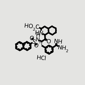 Cl.N=C(N)c1cccc(C[C@H](NS(=O)(=O)c2ccc3ccccc3c2)C(=O)C2NC(C(=O)O)CC3CCCCC32)c1